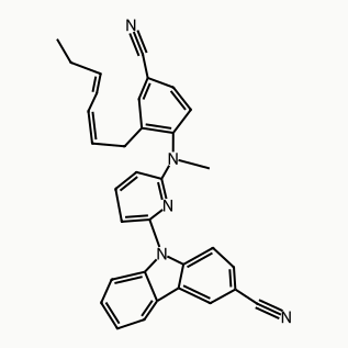 CC/C=C\C=C/Cc1cc(C#N)ccc1N(C)c1cccc(-n2c3ccccc3c3cc(C#N)ccc32)n1